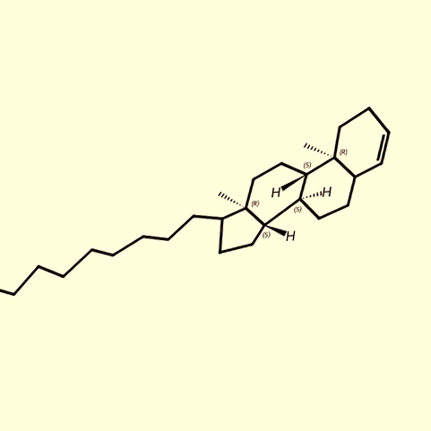 CCCCCCCCCC1CC[C@H]2[C@@H]3CCC4C=CCC[C@]4(C)[C@H]3CC[C@]12C